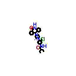 CCC(CC)C(=O)Nc1ccc(N2CCN(C3c4ccccc4NC(=O)c4ccccc43)C[C@H]2C)c(Cl)c1